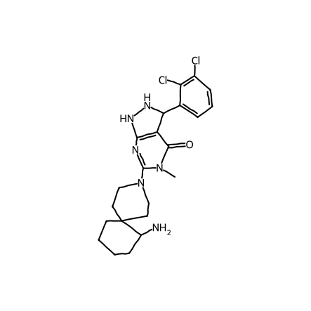 Cn1c(N2CCC3(CCCCC3N)CC2)nc2c(c1=O)C(c1cccc(Cl)c1Cl)NN2